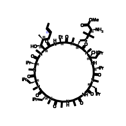 C/C=C/C[C@@H](C)[C@@H](O)[C@H]1C(=O)N[C@@H](CC)C(=O)N(C)[C@H](CSC(C)(C)[C@@H](N)C(=O)OC)C(=O)N(C)[C@@](C=O)(CC(C)C)N[C@H](C(C)C)C(=O)N(C)[C@H](CC(C)C)C(=O)NC(=O)C(C)NC(C)C(=O)N(C)[C@H](CC(C)C)C(=O)N(C)[C@H](CC(C)C)C(=O)N(C)[C@H](C(C)C)C(=O)N1C